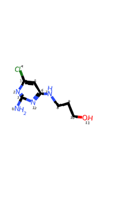 Nc1nc(Cl)cc(NCCCO)n1